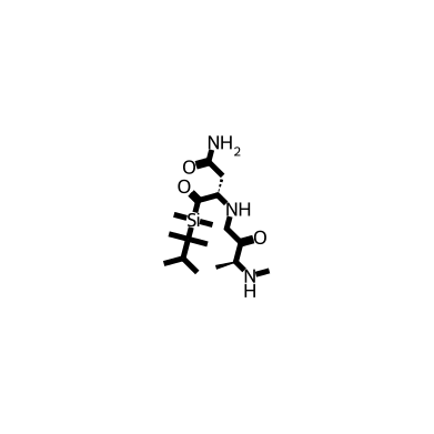 CN[C@@H](C)C(=O)CN[C@@H](CC(N)=O)C(=O)[Si](C)(C)C(C)(C)C(C)C